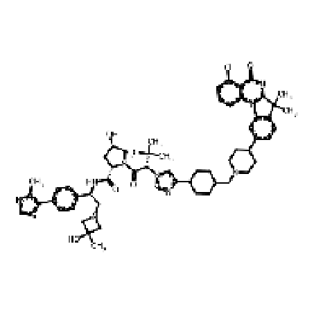 Cc1ncsc1-c1ccc([C@H](CN2CC(C)(O)C2)NC(=O)[C@@H]2C[C@@H](O)CN2C(=O)[C@@H](n2cc(C3CCC(CN4CCC(c5ccc6c(c5)-n5c(nc(=O)c7c(Cl)cccc75)C6(C)C)CC4)CC3)nn2)C(C)(C)C)cc1